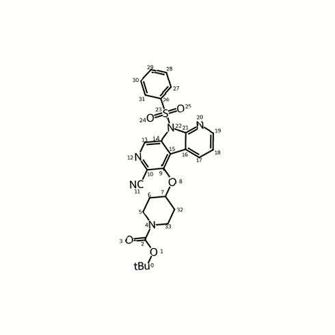 CC(C)(C)OC(=O)N1CCC(Oc2c(C#N)ncc3c2c2cccnc2n3S(=O)(=O)c2ccccc2)CC1